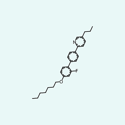 CCCCCCCOc1ccc(-c2ccc(-c3ccc(CCC)cn3)cc2)c(F)c1